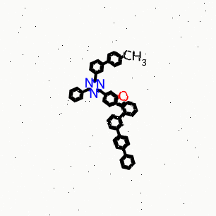 Cc1ccc(-c2cccc(-c3nc(-c4ccccc4)nc(-c4ccc5c(c4)oc4cccc(-c6cccc(-c7ccc(-c8ccccc8)cc7)c6)c45)n3)c2)cc1